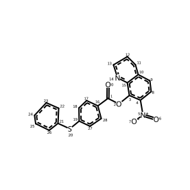 O=C(Oc1c([N+](=O)[O-])ccc2cccnc12)c1ccc(Sc2ccccc2)cc1